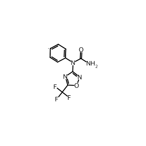 NC(=O)N(c1cc[c]cc1)c1noc(C(F)(F)F)n1